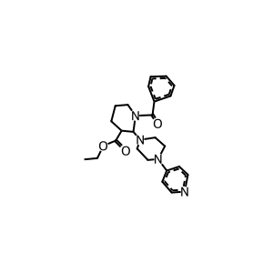 CCOC(=O)C1CCCN(C(=O)c2ccccc2)C1N1CCN(c2ccncc2)CC1